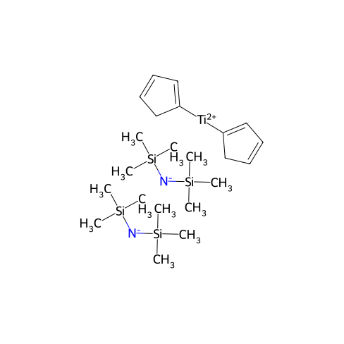 C1=CC[C]([Ti+2][C]2=CC=CC2)=C1.C[Si](C)(C)[N-][Si](C)(C)C.C[Si](C)(C)[N-][Si](C)(C)C